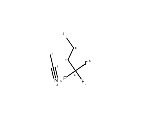 CC#N.FC(F)(F)CCI